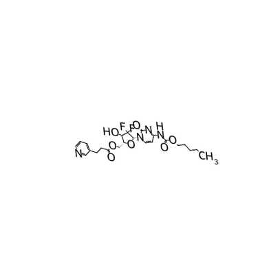 CCCCCOC(=O)Nc1ccn([C@@H]2O[C@H](COC(=O)CCc3cccnc3)[C@@H](O)C2(F)F)c(=O)n1